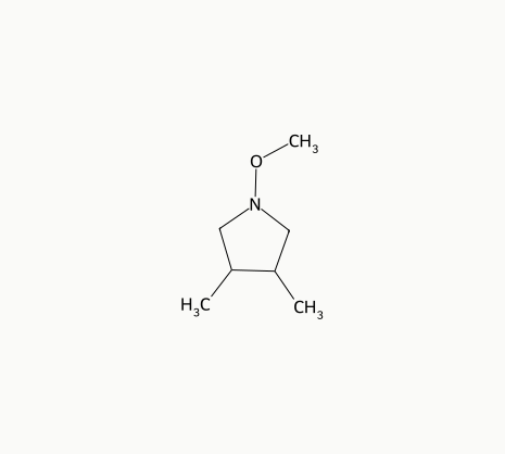 CON1CC(C)C(C)C1